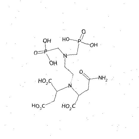 NC(=O)CC(C(=O)O)N(CCN(CP(=O)(O)O)CP(=O)(O)O)C(CC(=O)O)C(=O)O